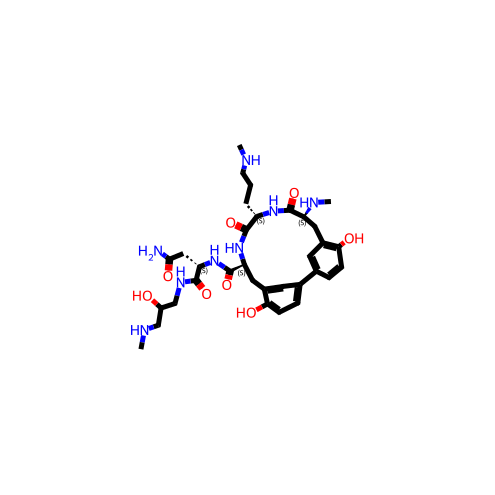 CNCCC[C@@H]1NC(=O)[C@@H](NC)Cc2cc(ccc2O)-c2ccc(O)c(c2)C[C@@H](C(=O)N[C@@H](CC(N)=O)C(=O)NCC(O)CNC)NC1=O